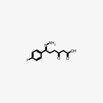 NN=C(CCC(=O)CC(=O)O)c1ccc(F)cc1